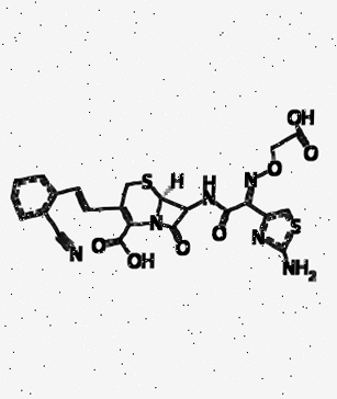 N#Cc1ccccc1C=CC1=C(C(=O)O)N2C(=O)C(NC(=O)C(=NOCC(=O)O)c3csc(N)n3)[C@@H]2SC1